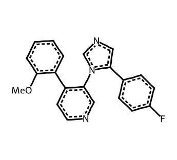 COc1ccccc1-c1ccncc1-n1cncc1-c1ccc(F)cc1